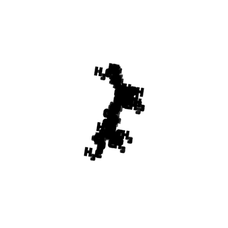 CCCOc1cccc(Oc2cc3c(cc2NS(=O)(=O)c2cccc(C(=O)N4CCC(C(=O)NC(C(=O)N5C[C@H](O)C[C@H]5C(=O)NCc5ccc(-c6scnc6C)cc5)C(C)(C)C)CC4)c2)n(C)c(=O)n3C)c1